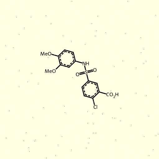 COc1ccc(NS(=O)(=O)c2ccc(Cl)c(C(=O)O)c2)cc1OC